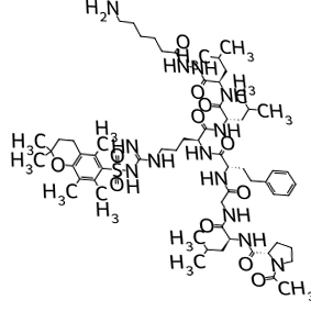 CC(=O)N1CCC[C@H]1C(=O)N[C@@H](CC(C)C)C(=O)NCC(=O)N[C@@H](CCc1ccccc1)C(=O)N[C@@H](CCCNC(=N)NS(=O)(=O)c1c(C)c(C)c2c(c1C)CCC(C)(C)O2)C(=O)N[C@@H](CC(C)C)C(=O)N[C@H](CC(C)C)C(=O)NNC(=O)CCCCCN